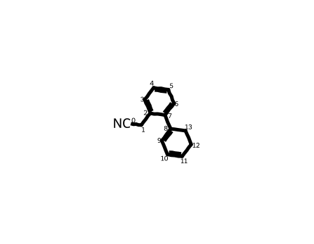 N#CCc1ccccc1C1=CC=CCC1